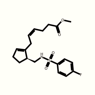 COC(=O)CC/C=C\CC1=CCC[C@@H]1CNS(=O)(=O)c1ccc(F)cc1